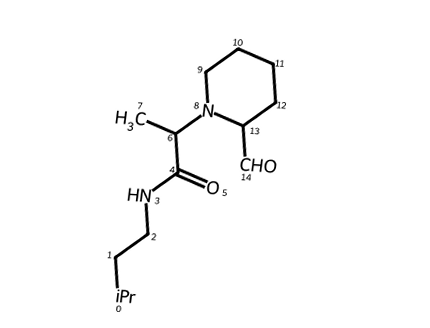 CC(C)CCNC(=O)C(C)N1CCCCC1C=O